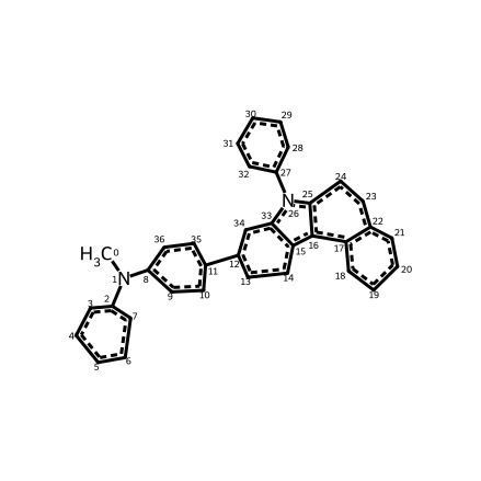 CN(c1ccccc1)c1ccc(-c2ccc3c4c5ccccc5ccc4n(-c4ccccc4)c3c2)cc1